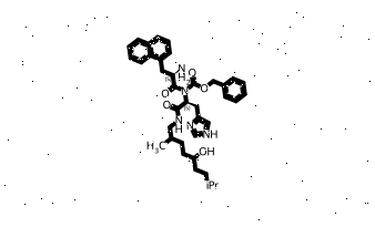 CC(C)CCC(O)CCC(C)CNC(=O)[C@H](Cc1c[nH]cn1)N(C(=O)OCc1ccccc1)C(=O)[C@@H](N)Cc1cccc2ccccc12